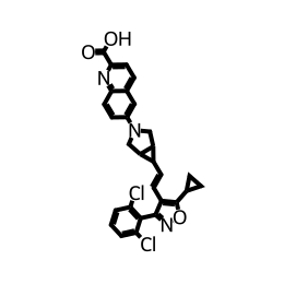 O=C(O)c1ccc2cc(N3CC4C(C=Cc5c(-c6c(Cl)cccc6Cl)noc5C5CC5)C4C3)ccc2n1